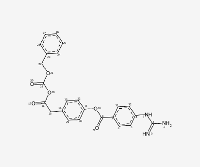 N=C(N)Nc1ccc(C(=O)Oc2ccc(CC(=O)OC(=O)OCc3ccccc3)cc2)cc1